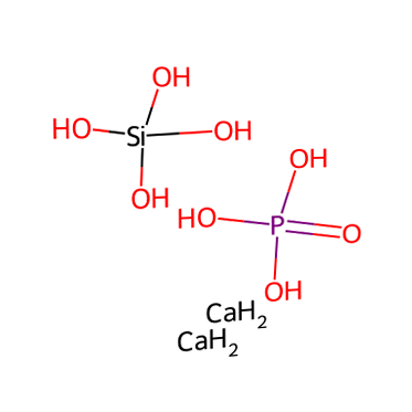 O=P(O)(O)O.O[Si](O)(O)O.[CaH2].[CaH2]